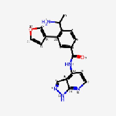 CC(N)c1ccc(C(=O)Nc2ccnc3[nH]ncc23)cc1-c1ccoc1